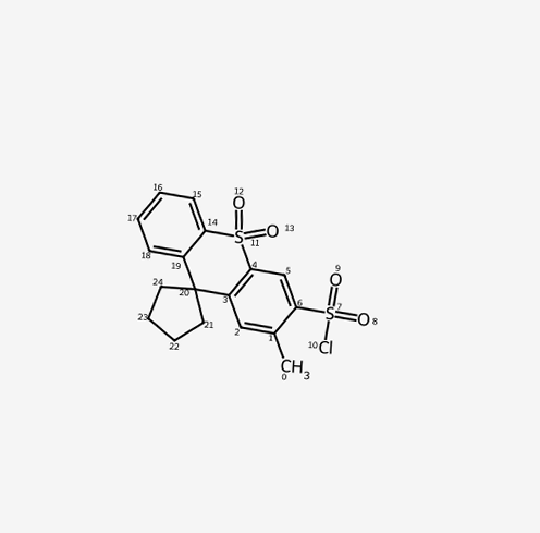 Cc1cc2c(cc1S(=O)(=O)Cl)S(=O)(=O)c1ccccc1C21CCCC1